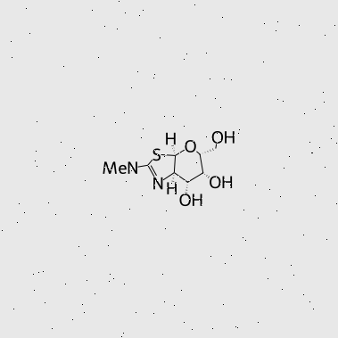 CNC1=N[C@@H]2[C@@H](O)[C@@H](O)[C@@H](CO)O[C@@H]2S1